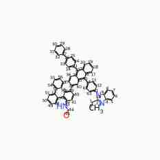 CCc1nc2ccccc2n1-c1ccc(-c2c3ccccc3c(-c3ccc(-c4ccccc4)cc3)c3ccc(-c4ccc(NC=O)c(-c5ccccc5-c5ccccc5)c4)cc23)cc1